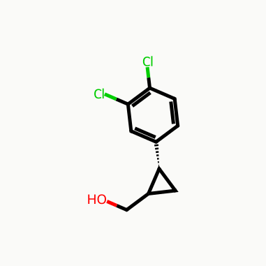 OCC1C[C@H]1c1ccc(Cl)c(Cl)c1